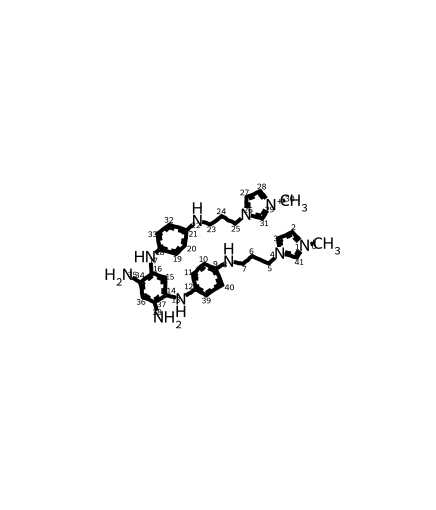 C[n+]1ccn(CCCNc2ccc(Nc3cc(Nc4ccc(NCCCn5cc[n+](C)c5)cc4)c(N)cc3N)cc2)c1